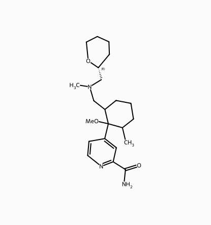 COC1(c2ccnc(C(N)=O)c2)C(C)CCCC1CN(C)C[C@H]1CCCCO1